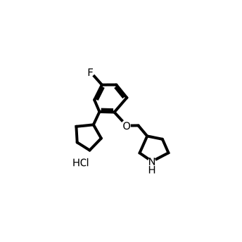 Cl.Fc1ccc(OCC2CCNC2)c(C2CCCC2)c1